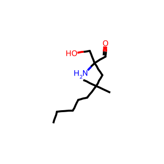 CCCCCC(C)(C)CC(N)(C=O)CO